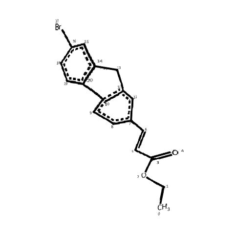 CCOC(=O)/C=C/c1ccc2c(c1)Cc1cc(Br)ccc1-2